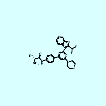 CC(C)[C@@H](N)C(=O)Nc1ccc(-c2cc(N3CCOCC3)nc(-n3c(C(F)F)nc4ccccc43)n2)cc1